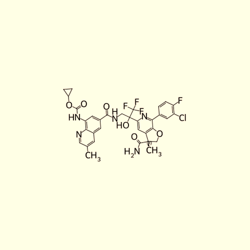 Cc1cnc2c(NC(=O)OC3CC3)cc(C(=O)NCC(O)(c3cc4c(c(-c5ccc(F)c(Cl)c5)n3)OC[C@]4(C)C(N)=O)C(F)(F)F)cc2c1